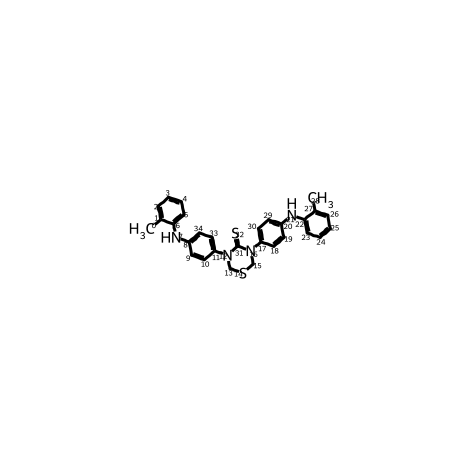 Cc1ccccc1Nc1ccc(N2CSCN(c3ccc(Nc4ccccc4C)cc3)C2=S)cc1